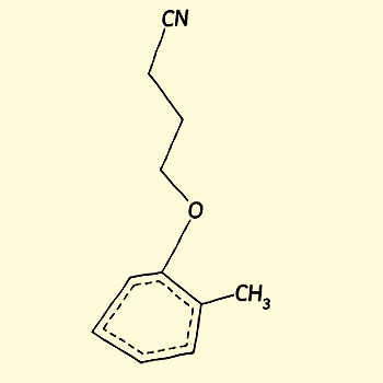 Cc1ccccc1OCCCC#N